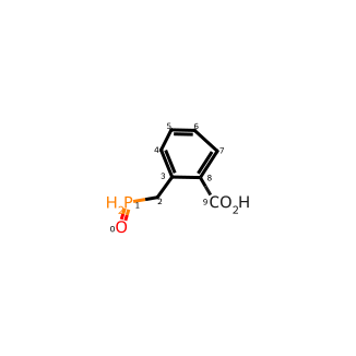 O=[PH2]Cc1ccccc1C(=O)O